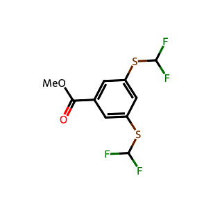 COC(=O)c1cc(SC(F)F)cc(SC(F)F)c1